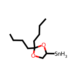 CCCCC1(CCCC)OC[CH]([SnH3])O1